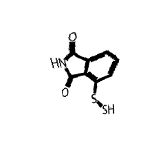 O=C1NC(=O)c2c(SS)cccc21